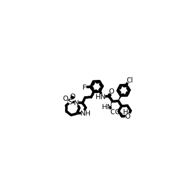 O=C(O)N[C@H](C(=O)Nc1cccc(F)c1CCC1CNC2CCCS(=O)(=O)N1C2)[C@@H](c1ccc(Cl)cc1)C1CCOCC1